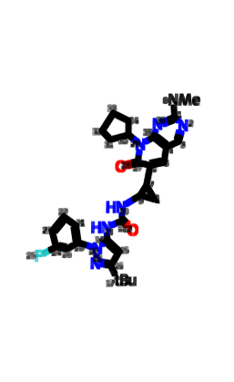 CNc1ncc2cc(C3CC3NC(=O)Nc3cc(C(C)(C)C)nn3-c3cccc(F)c3)c(=O)n(C3CCCC3)c2n1